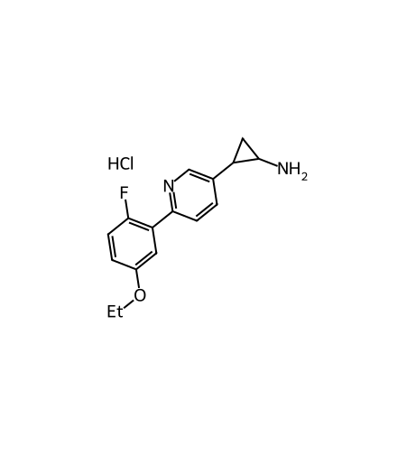 CCOc1ccc(F)c(-c2ccc(C3CC3N)cn2)c1.Cl